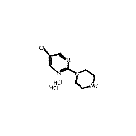 Cl.Cl.Clc1cnc(N2CCNCC2)nc1